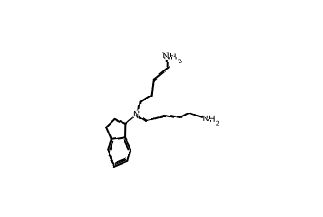 NCCCCN(CCCCN)C1CCc2ccccc21